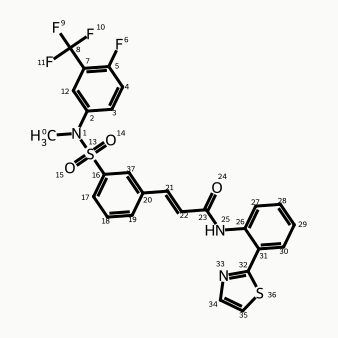 CN(c1ccc(F)c(C(F)(F)F)c1)S(=O)(=O)c1cccc(/C=C/C(=O)Nc2ccccc2-c2nccs2)c1